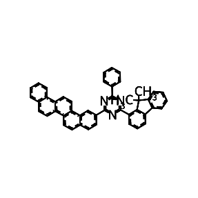 CC1(C)c2ccccc2-c2cccc(-c3nc(-c4ccccc4)nc(-c4ccc5ccc6c(ccc7c8ccccc8ccc76)c5c4)n3)c21